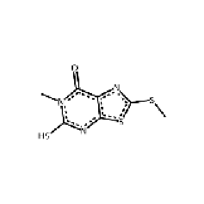 CSc1nc2c(=O)n(C)c(S)nc2s1